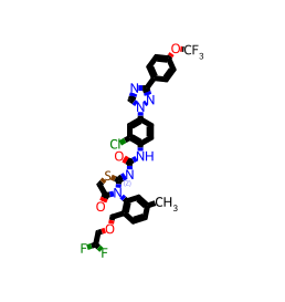 Cc1ccc(COCC(F)F)c(N2C(=O)CS/C2=N\C(=O)Nc2ccc(-n3cnc(-c4ccc(OC(F)(F)F)cc4)n3)cc2Cl)c1